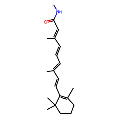 [CH2]NC(=O)/C=C(C)/C=C/C=C(C)/C=C/C1=C(C)CCCC1(C)C